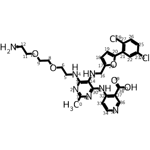 Cc1nc(NCCOCCOCCN)c(NCc2ccc(-c3cc(Cl)ccc3Cl)o2)c(Nc2ccncc2C(=O)O)n1